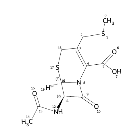 CSCC1=C(C(=O)O)N2C(=O)[C@@H](NC(C)=O)[C@H]2SC1